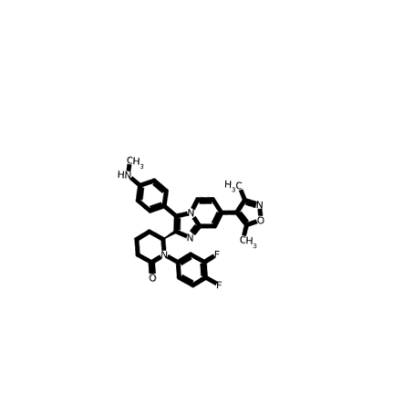 CNc1ccc(-c2c([C@@H]3CCCC(=O)N3c3ccc(F)c(F)c3)nc3cc(-c4c(C)noc4C)ccn23)cc1